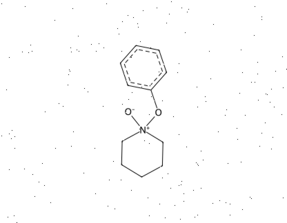 [O-][N+]1(Oc2ccccc2)CCCCC1